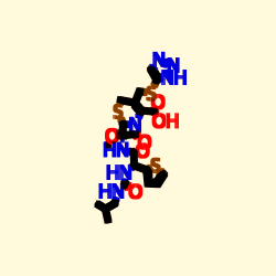 CO[C@]1(NC(=O)C(NC(=O)NCC(C)C)c2cccs2)C(=O)N2C(C(=O)O)=C(CSc3cnn[nH]3)CSC21